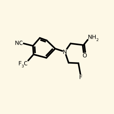 N#Cc1ccc(N(CCF)CC(N)=O)cc1C(F)(F)F